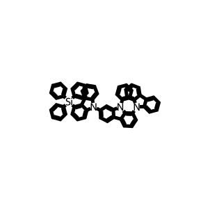 c1ccc(-n2c3cc(-n4c5ccccc5c5c([Si](c6ccccc6)(c6ccccc6)c6ccccc6)cccc54)ccc3c3cccc(-n4c5ccccc5c5ccccc54)c32)cc1